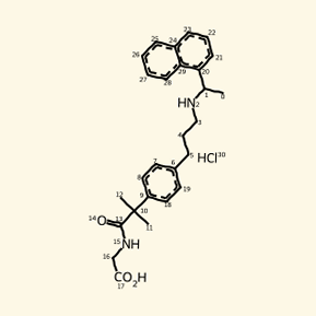 CC(NCCCc1ccc(C(C)(C)C(=O)NCC(=O)O)cc1)c1cccc2ccccc12.Cl